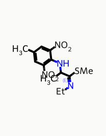 CC/N=C(/SC)C(C)Nc1c([N+](=O)[O-])cc(C)cc1[N+](=O)[O-]